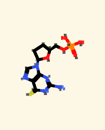 Nc1nc2c(ncn2[C@H]2CC[C@@H](COP(=O)(O)O)O2)c(=S)[nH]1